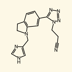 N#CCCn1nnnc1-c1ccc2c(c1)N(Cc1c[nH]cn1)CC2